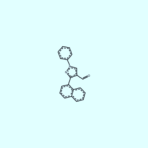 O=Cc1cn(-c2ccccc2)nc1-c1cccc2ccccc12